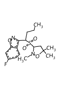 CCCC(c1noc2cc(F)ccc12)S(=O)(=O)C1CC(C)(C)ON1C